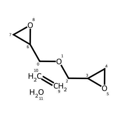 C(OCC1CO1)C1CO1.C=C.O